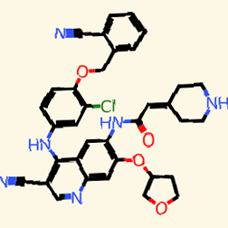 N#Cc1ccccc1COc1ccc(Nc2c(C#N)cnc3cc(OC4CCOC4)c(NC(=O)C=C4CCNCC4)cc23)cc1Cl